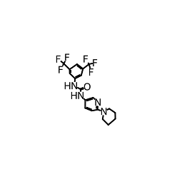 O=C(Nc1ccc(N2CCCCC2)nc1)Nc1cc(C(F)(F)F)cc(C(F)(F)F)c1